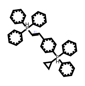 C(=C\[PH](c1ccccc1)(c1ccccc1)c1ccccc1)/c1ccc([PH](c2ccccc2)(c2ccccc2)C2CC2)cc1